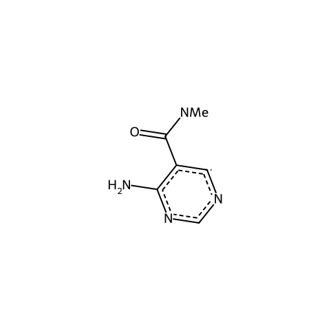 CNC(=O)c1[c]ncnc1N